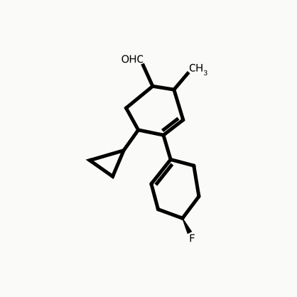 CC1C=C(C2=CC[C@H](F)CC2)C(C2CC2)CC1C=O